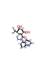 CCN(C(=O)c1cc(C(C)C)c(O)cc1O)c1cccc2ncccc12